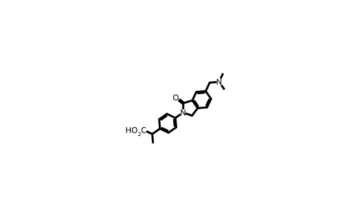 CC(C(=O)O)c1ccc(N2Cc3ccc(CN(C)C)cc3C2=O)cc1